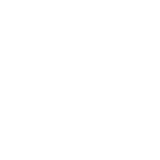 [O]C(Cc1ccccc1)c1ccccc1